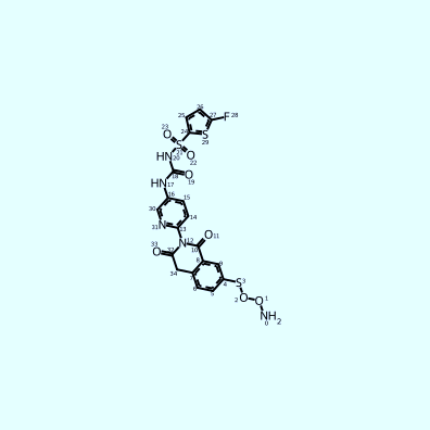 NOOSc1ccc2c(c1)C(=O)N(c1ccc(NC(=O)NS(=O)(=O)c3ccc(F)s3)cn1)C(=O)C2